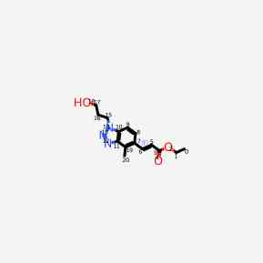 CCOC(=O)/C=C/c1ccc2c(nnn2CCCO)c1C